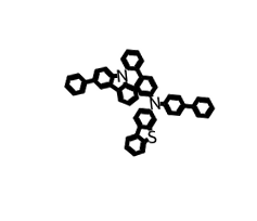 c1ccc(-c2ccc(N(c3ccc(-c4ccccc4-n4c5ccccc5c5cc(-c6ccccc6)ccc54)cc3)c3ccc4c(c3)sc3ccccc34)cc2)cc1